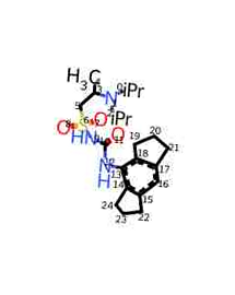 CC(C)N(C(C)C)C(C)CS(=O)(=O)NC(=O)Nc1c2c(cc3c1CCC3)CCC2